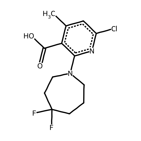 Cc1cc(Cl)nc(N2CCCC(F)(F)CC2)c1C(=O)O